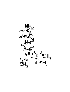 CCC[CH2][Sn]([CH2]CCC)([CH2]CCC)[c]1ccn2c(c1)nc1cc(N)ccc12